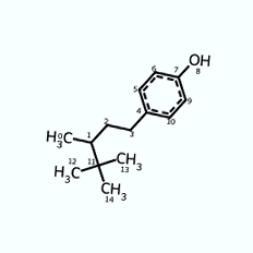 CC(CCc1ccc(O)cc1)C(C)(C)C